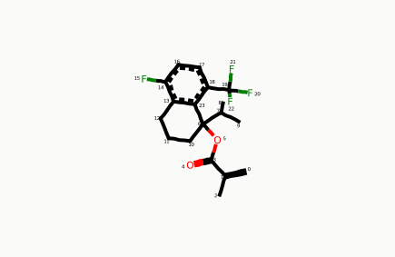 C=C(C)C(=O)OC1(C(C)C)CCCc2c(F)ccc(C(F)(F)F)c21